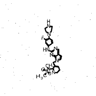 CN(c1ncccc1Cn1ccc2cnc(Nc3ccc(N4CCNCC4)c(F)c3)nc21)S(C)(=O)=O